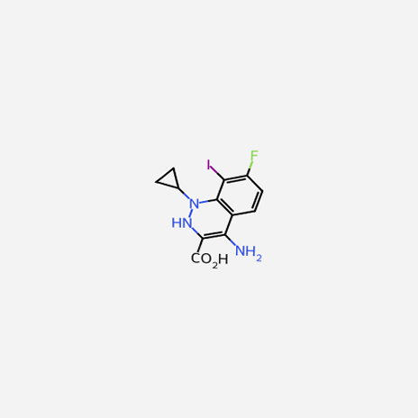 NC1=C(C(=O)O)NN(C2CC2)c2c1ccc(F)c2I